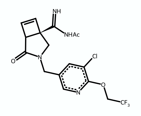 CC(=O)NC(=N)[C@]12C=CC1C(=O)N(Cc1cnc(OCC(F)(F)F)c(Cl)c1)C2